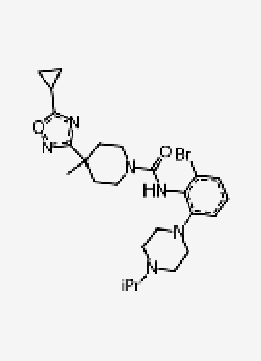 CC(C)N1CCN(c2cccc(Br)c2NC(=O)N2CCC(C)(c3noc(C4CC4)n3)CC2)CC1